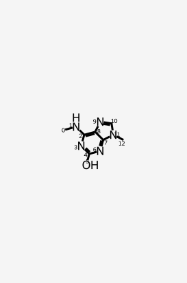 CNc1nc(O)nc2c1ncn2C